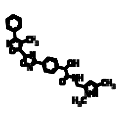 Cc1cc(CNC(=O)C(O)c2ccc(-c3noc(-c4onc(-c5ccccc5)c4C(F)(F)F)n3)cc2)n(C)n1